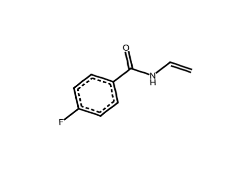 C=CNC(=O)c1ccc(F)cc1